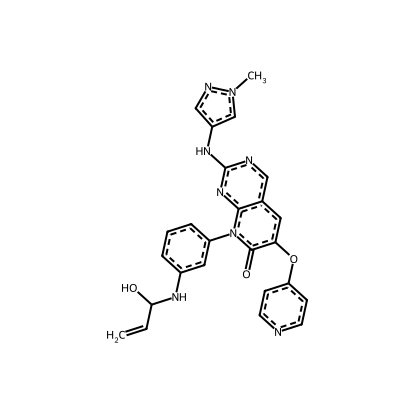 C=CC(O)Nc1cccc(-n2c(=O)c(Oc3ccncc3)cc3cnc(Nc4cnn(C)c4)nc32)c1